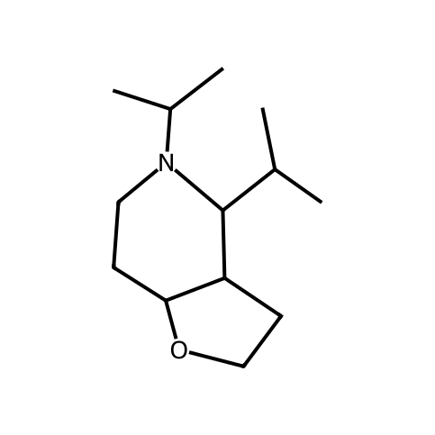 CC(C)C1C2CCOC2CCN1C(C)C